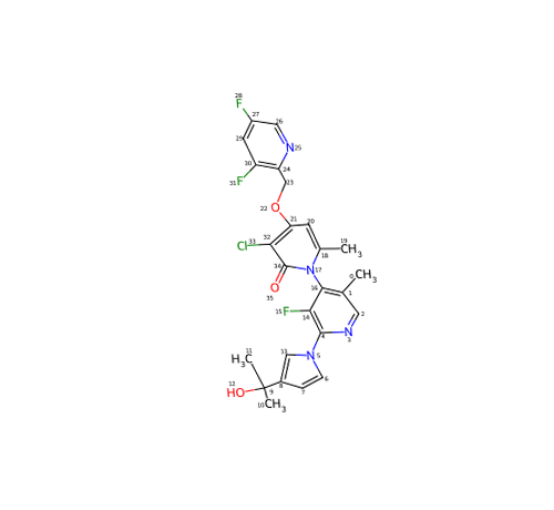 Cc1cnc(-n2ccc(C(C)(C)O)c2)c(F)c1-n1c(C)cc(OCc2ncc(F)cc2F)c(Cl)c1=O